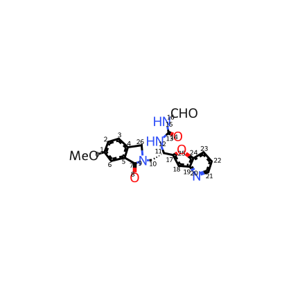 COc1ccc2c(c1)C(=O)N(C[C@H](NC(=O)NC=O)c1cc3ncccc3o1)C2